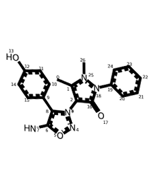 Cc1c(-[n+]2noc([NH-])c2-c2ccc(O)cc2)c(=O)n(-c2ccccc2)n1C